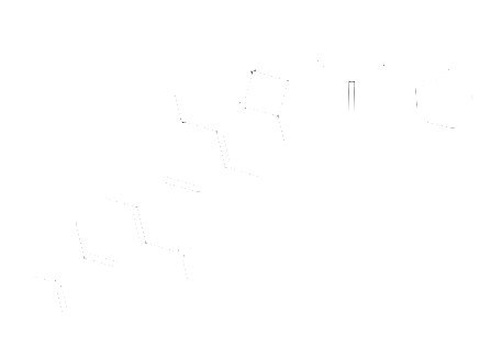 O=C(Cc1cccs1)NC1C(=O)N2C(C(=O)O)=C(C=Cc3ccc([N+](=O)[O-])cc3[N+](=O)[O-])CS[C@H]12